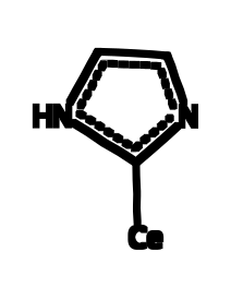 [Ce][c]1ncc[nH]1